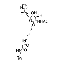 CC(=O)NC1C(OCCCCCCNC(=O)CC(=O)NCOC(C)C)OC(CNC(=O)c2nccs2)C(O)C1O